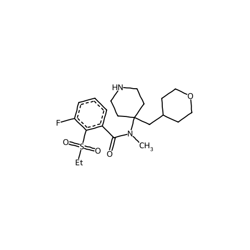 CCS(=O)(=O)c1c(F)cccc1C(=O)N(C)C1(CC2CCOCC2)CCNCC1